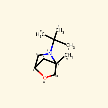 CC(C)(C)N1CC2CC1(C)CO2